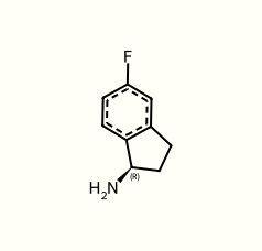 N[C@@H]1CCc2cc(F)ccc21